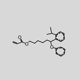 C=CC(=O)OCCCCCC(Oc1ccccc1)c1ccccc1C(C)C